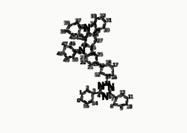 c1ccc(-c2nc(-c3ccccc3)nc(-c3cccc(-c4ccc5c(c4)c4cc6c7ccccc7n7c8ccccc8c(c4n5-c4ccccc4)c67)c3)n2)cc1